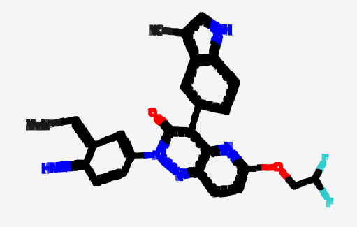 CN/C=C1/C=C(n2nc3ccc(OCC(F)F)nc3c(-c3ccc4[nH]cc(C#N)c4c3)c2=O)C=CC1=N